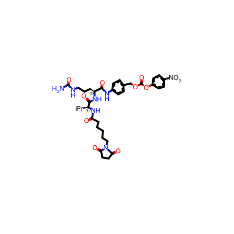 CC(C)[C@H](NC(=O)CCCCCN1C(=O)CCC1=O)C(=O)N[C@@H](CCCNC(N)=O)C(=O)Nc1ccc(COC(=O)Oc2ccc([N+](=O)[O-])cc2)cc1